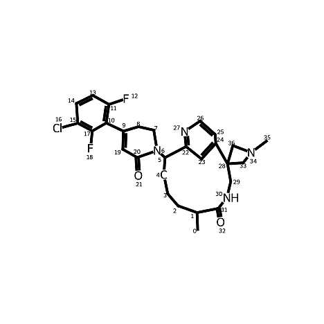 CC1CCCC(N2CCC(c3c(F)ccc(Cl)c3F)=CC2=O)c2cc(ccn2)C2(CNC1=O)CN(C)C2